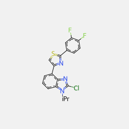 CC(C)n1c(Cl)nc2c(-c3csc(-c4ccc(F)c(F)c4)n3)cccc21